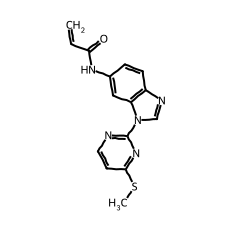 C=CC(=O)Nc1ccc2ncn(-c3nccc(SC)n3)c2c1